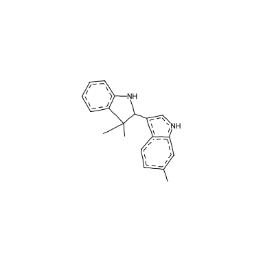 Cc1ccc2c(C3Nc4ccccc4C3(C)C)c[nH]c2c1